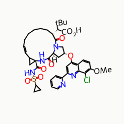 COc1ccc2c(O[C@@H]3C[C@H]4C(=O)N[C@]5(C(=O)NS(=O)(=O)C6CC6)CC5C=CCCCCC[C@H](C(C(=O)O)C(C)(C)C)C(=O)N4C3)cc(-c3ccccn3)nc2c1Cl